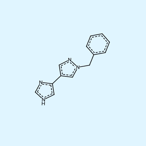 c1ccc(Cn2cc(-c3c[nH]cn3)cn2)cc1